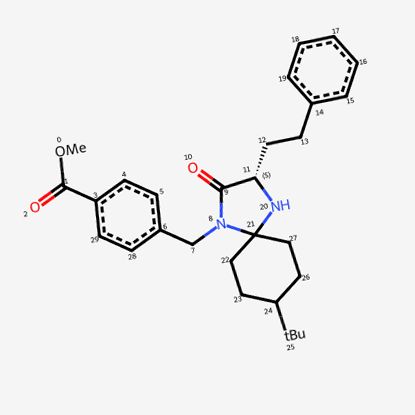 COC(=O)c1ccc(CN2C(=O)[C@H](CCc3ccccc3)NC23CCC(C(C)(C)C)CC3)cc1